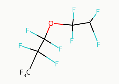 F[C](F)C(F)(F)OC(F)(F)C(F)(F)C(F)(F)F